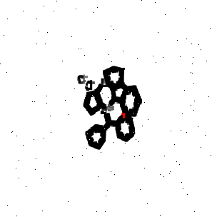 CCC1=[C]([Zr+2](=[C](c2ccccc2)c2ccccc2)[CH]2c3ccccc3-c3ccccc32)CC=C1.[Cl-].[Cl-]